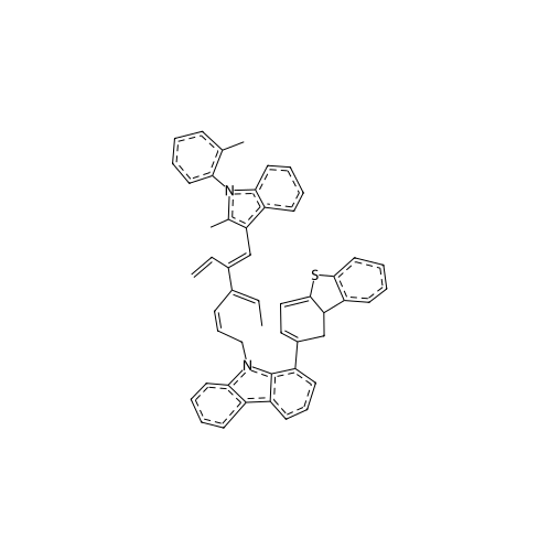 C=CC(=C\c1c(C)n(-c2ccccc2C)c2ccccc12)/C(/C=C\Cn1c2ccccc2c2cccc(C3=CC=C4Sc5ccccc5C4C3)c21)=C/C